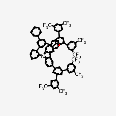 FC(F)(F)c1cc(-c2cc(-c3cc(C(F)(F)F)cc(C(F)(F)F)c3)cc(-c3ccc4c(c3)c3cc(-c5cc(-c6cc(C(F)(F)F)cc(C(F)(F)F)c6)cc(-c6cc(C(F)(F)F)cc(C(F)(F)F)c6)c5)ccc3n4-c3ccccc3-c3cc(-c4ccccc4)cc(-c4ccccc4)c3)c2)cc(C(F)(F)F)c1